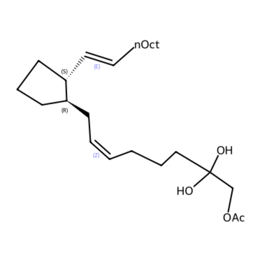 CCCCCCCC/C=C/[C@H]1CCC[C@@H]1C/C=C\CCCC(O)(O)COC(C)=O